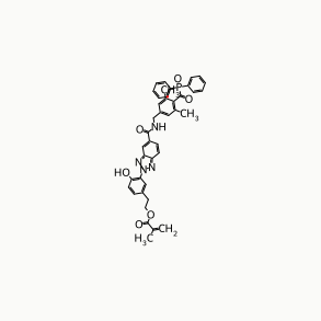 C=C(C)C(=O)OCCc1ccc(O)c(-n2nc3ccc(C(=O)NCc4cc(C)c(C(=O)P(=O)(c5ccccc5)c5ccccc5)c(C)c4)cc3n2)c1